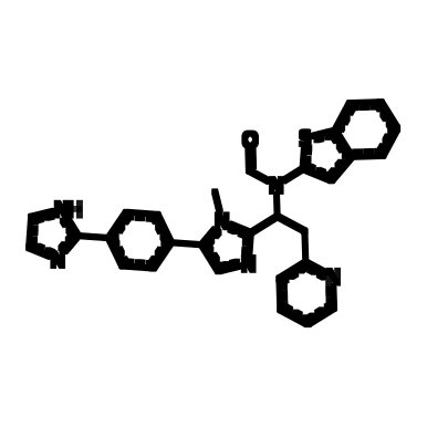 Cn1c(-c2ccc(-c3ncc[nH]3)cc2)cnc1C(Cc1ccccn1)N(C=O)c1cc2ccccc2s1